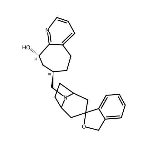 O[C@H]1C[C@H](CN2C3CCC2CC2(C3)OCc3ccccc32)CCc2cccnc21